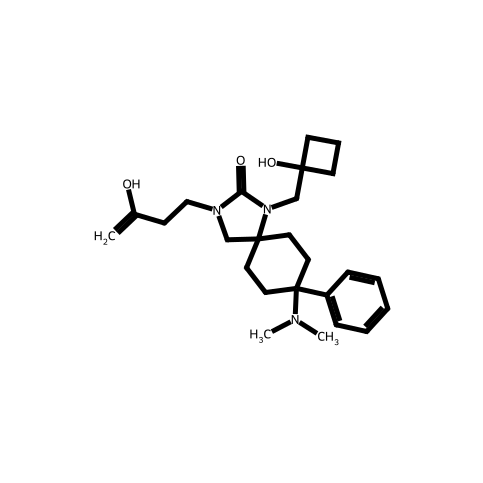 C=C(O)CCN1CC2(CCC(c3ccccc3)(N(C)C)CC2)N(CC2(O)CCC2)C1=O